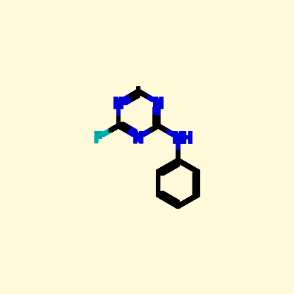 Fc1n[c]nc(Nc2ccccc2)n1